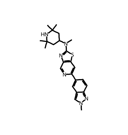 CN(c1nc2cnc(-c3ccc4nn(C)cc4c3)cc2s1)C1CC(C)(C)NC(C)(C)C1